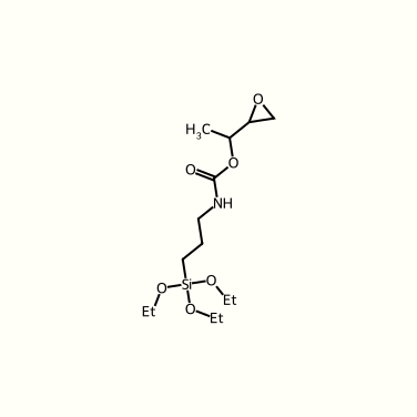 CCO[Si](CCCNC(=O)OC(C)C1CO1)(OCC)OCC